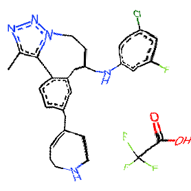 Cc1nnn2c1-c1ccc(C3=CCNCC3)cc1C(Nc1cc(F)cc(Cl)c1)CC2.O=C(O)C(F)(F)F